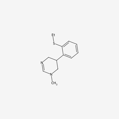 CCSc1ccccc1C1CN=CN(C)C1